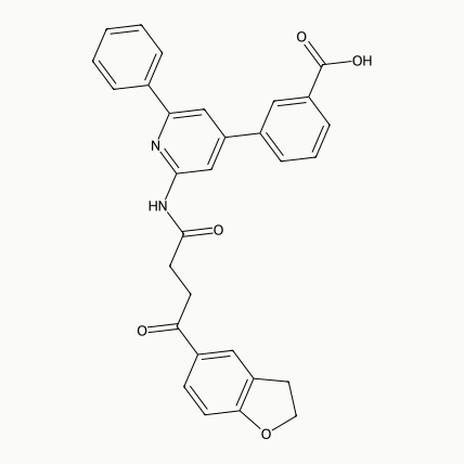 O=C(CCC(=O)c1ccc2c(c1)CCO2)Nc1cc(-c2cccc(C(=O)O)c2)cc(-c2ccccc2)n1